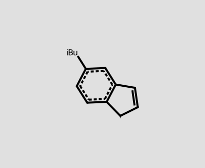 CCC(C)c1ccc2c(c1)C=C[CH]2